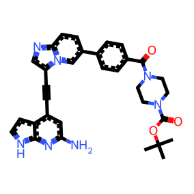 CC(C)(C)OC(=O)N1CCN(C(=O)c2ccc(-c3ccc4ncc(C#Cc5cc(N)nc6[nH]ccc56)n4c3)cc2)CC1